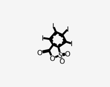 O=C1OS(=O)(=O)c2c(I)c(I)c(I)c(I)c21